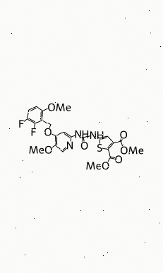 COC(=O)c1cc(NC(=O)Nc2cc(OCc3c(OC)ccc(F)c3F)c(OC)cn2)sc1C(=O)OC